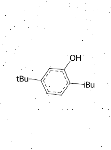 CCC(C)c1ccc(C(C)(C)C)cc1O